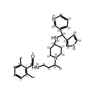 Cc1cccc(C)c1C(=O)NCCC(C)N1CCC(NC(c2cccnc2)c2ccsc2)CC1